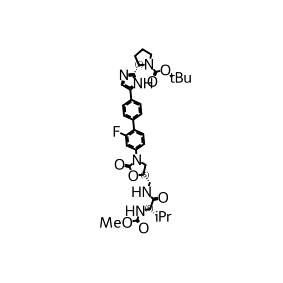 COC(=O)N[C@H](C(=O)NC[C@H]1CN(c2ccc(-c3ccc(-c4cnc([C@@H]5CCCN5C(=O)OC(C)(C)C)[nH]4)cc3)c(F)c2)C(=O)O1)C(C)C